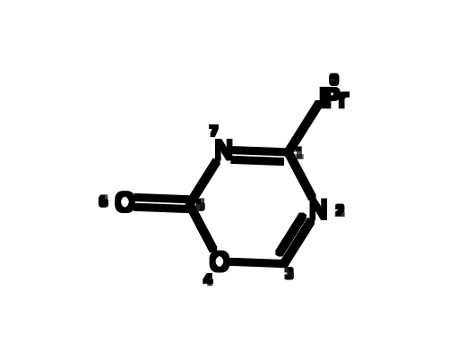 CC(C)c1ncoc(=O)n1